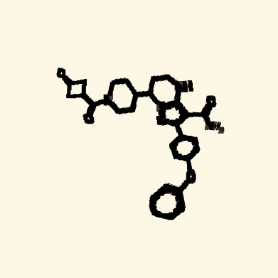 NC(=O)c1c(-c2ccc(Oc3ccccc3)cc2)nn2c1NCCC2C1CCN(C(=O)C2CC(=O)C2)CC1